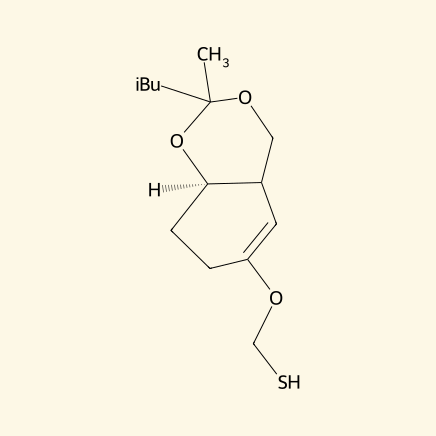 CCC(C)C1(C)OCC2C=C(OCS)CC[C@H]2O1